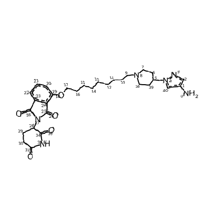 Nc1cnn(C2CCN(CCCCCCCCCOc3cccc4c3C(=O)N(C3CCC(=O)NC3=O)C4=O)CC2)c1